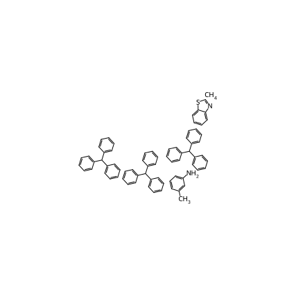 C.Cc1cccc(N)c1.c1ccc(C(c2ccccc2)c2ccccc2)cc1.c1ccc(C(c2ccccc2)c2ccccc2)cc1.c1ccc(C(c2ccccc2)c2ccccc2)cc1.c1ccc2scnc2c1